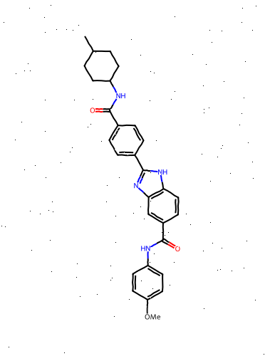 COc1ccc(NC(=O)c2ccc3[nH]c(-c4ccc(C(=O)NC5CCC(C)CC5)cc4)nc3c2)cc1